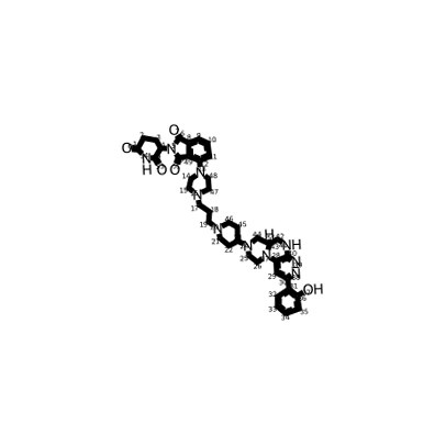 O=C1CCC(N2C(=O)c3cccc(N4CCN(CCCN5CCC(N6CCN7c8cc(-c9ccccc9O)nnc8NC[C@H]7C6)CC5)CC4)c3C2=O)C(=O)N1